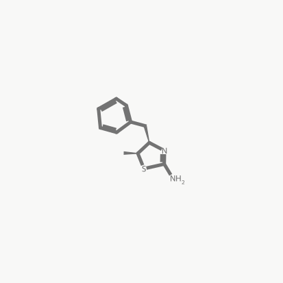 C[C@@H]1SC(N)=N[C@@H]1Cc1ccccc1